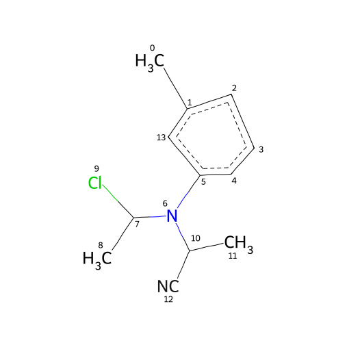 Cc1cccc(N(C(C)Cl)C(C)C#N)c1